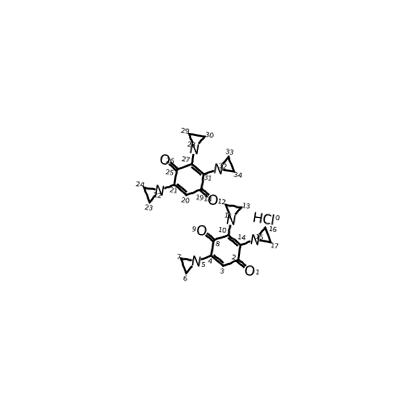 Cl.O=C1C=C(N2CC2)C(=O)C(N2CC2)=C1N1CC1.O=C1C=C(N2CC2)C(=O)C(N2CC2)=C1N1CC1